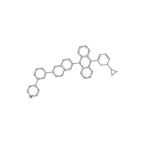 C1=CC(C2CC2)CC(c2c3ccccc3c(-c3ccc4cc(-c5cccc(-c6ccncc6)c5)ccc4c3)c3ccccc23)=C1